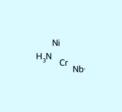 N.[Cr].[Nb].[Ni]